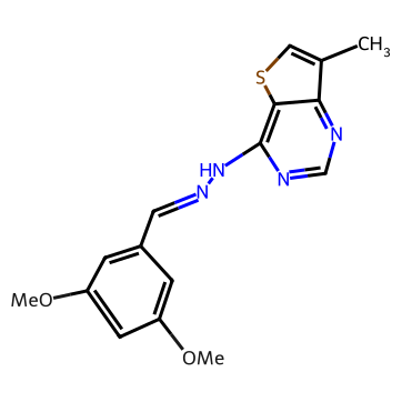 COc1cc(C=NNc2ncnc3c(C)csc23)cc(OC)c1